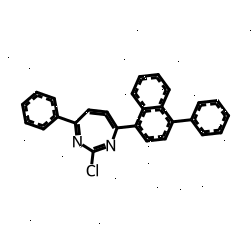 ClC1=NC(c2ccc(-c3ccccc3)c3ccccc23)=C=CC(c2ccccc2)=N1